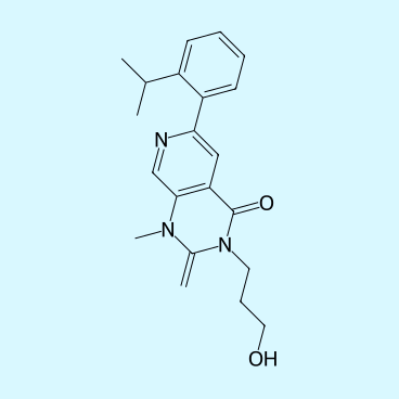 C=C1N(CCCO)C(=O)c2cc(-c3ccccc3C(C)C)ncc2N1C